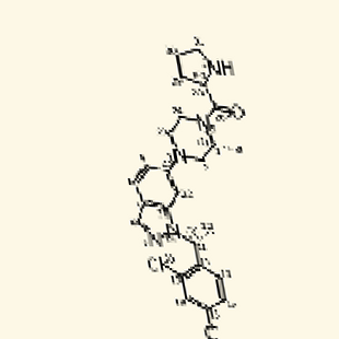 C[C@@H]1CN(c2ccc3cnn([C@H](C)c4ccc(Cl)cc4Cl)c3c2)CCN1C(=O)[C@H]1CCCN1